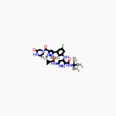 BC(B)(B)NC(=O)c1nnc(NC(=O)C2CC2)cc1Nc1cc(F)cc(-c2cc(C(=O)N3CCNC(=O)C3)n(C)n2)c1OC